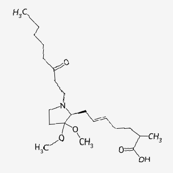 CCCCCC(=O)CCN1CCC(OC)(OC)[C@@H]1CC=CCCC(C)C(=O)O